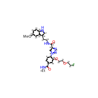 CCNC(=O)c1ccc(-n2cc(C(=O)NCCc3c[nH]c4ccc(OC)cc34)nn2)c(OCCOCCF)c1